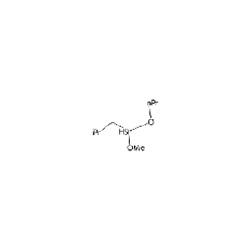 CCCO[SiH](CC(C)C)OC